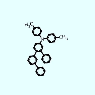 Cc1ccc(N(c2ccc(C)cc2)c2ccc(-c3cccc(-c4ccccc4)c3)c(-c3ccccc3)c2)cc1